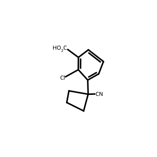 N#CC1(c2cccc(C(=O)O)c2Cl)CCC1